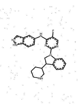 Fc1cnc(N2CC(C3CCCNC3)c3ccccc32)nc1Nc1ccc2[nH]ncc2c1